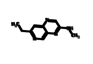 CCc1cc2ncc(NC)nc2cn1